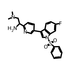 CN(C)CC(N)c1ccc(-c2cn(S(=O)(=O)c3ccccc3)c3cc(F)ccc23)cn1